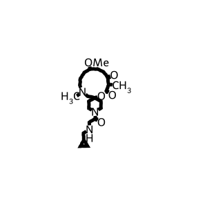 COC1CCCN(C)CC2(CCN(C(=O)CNCC3CC3)CC2)OC(=O)C(C)C(=O)CC1